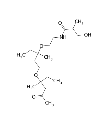 CCC(C)(CCOC(C)(CC)CC(C)=O)OCCNC(=O)C(C)CO